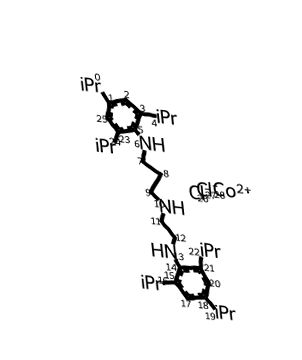 CC(C)c1cc(C(C)C)c(NCCCNCCNc2c(C(C)C)cc(C(C)C)cc2C(C)C)c(C(C)C)c1.[Cl-].[Cl-].[Co+2]